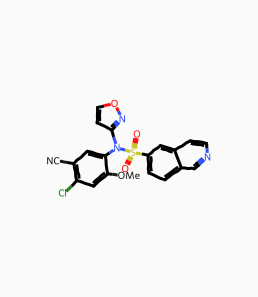 COc1cc(Cl)c(C#N)cc1N(c1ccon1)S(=O)(=O)c1ccc2cnccc2c1